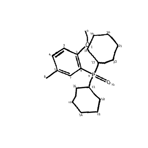 COc1ccc(C)cc1P(=O)(C1CCCCC1)C1CCCCC1